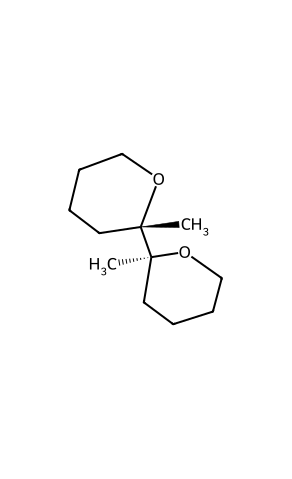 C[C@@]1([C@]2(C)CCCCO2)CCCCO1